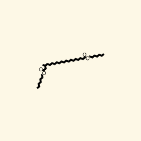 CCCCCCCOC(=O)CCCCCCCCCCCCCCCCC(C)CC(=O)OCCCCCCC